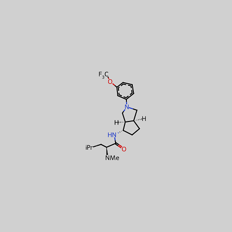 CN[C@@H](CC(C)C)C(=O)N[C@H]1CC[C@@H]2CN(c3cccc(OC(F)(F)F)c3)C[C@@H]21